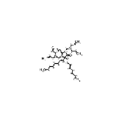 C=CCN(CC=C)CN1C(=O)N(CN(CC=C)CC=C)C(CCCCCCCC)(CCCCCCCC)C1=O